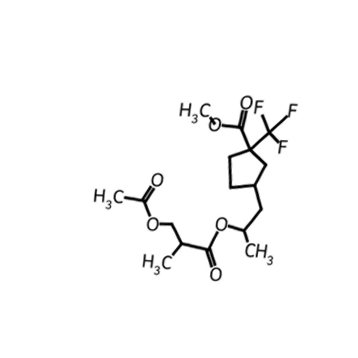 COC(=O)C1(C(F)(F)F)CCC(CC(C)OC(=O)C(C)COC(C)=O)C1